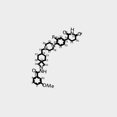 COc1cccc(C(=O)NN2CC3(CCC(CN4CCN(c5ccc(C6CCC(=O)NC6=O)cc5F)CC4)CC3)C2)c1